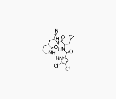 N#C[C@H](C[C@@H]1CCCNC1=O)NC(=O)[C@H](CC1CC1)NC(=O)c1cc(Cl)c(Cl)[nH]1